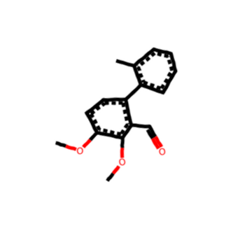 COc1ccc(-c2ccccc2C)c(C=O)c1OC